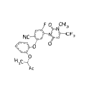 CC(=O)C(C)Oc1ccccc1Oc1cc(-n2c(=O)cc(C(F)(F)F)n(C)c2=O)c(F)cc1C#N